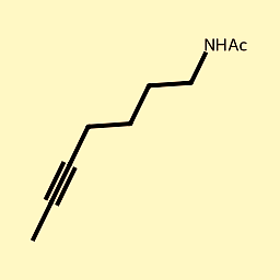 CC#CCCCCNC(C)=O